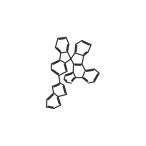 c1ccc2c(c1)-c1ccc(-c3ccc4ccccc4c3)cc1C21c2ccccc2-c2c1c1cccnc1c1ncccc21